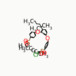 CCCCC(C)(C)c1ccc2cc1Oc1ccc(cc1)S(=O)(=O)C(C)(C)CCCC(C)(Cl)S(=O)(=O)c1ccc(cc1)O2